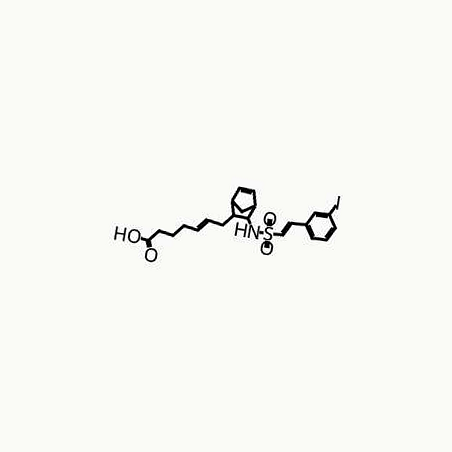 O=C(O)CCCC=CCC1C2C=CC(C2)C1NS(=O)(=O)C=Cc1cccc(I)c1